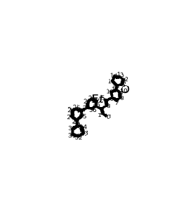 C/C=C(\C=C(/CC)c1ccc2oc3ccccc3c2c1)c1cccc(-c2cccc(-c3ccccc3)c2)c1